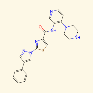 O=C(Nc1cnccc1N1CCNCC1)c1csc(-n2cc(-c3ccccc3)cn2)n1